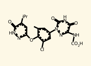 Cc1cc(-n2nc(NC(=O)O)c(=O)[nH]c2=O)cc(Cl)c1Oc1cc(C(C)C)c(=O)[nH]n1